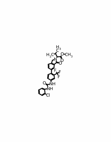 COC(=O)C(C(C)C)N1Cc2ccc(-c3ccc(NC(=O)Nc4ccccc4Cl)cc3C(F)(F)F)cc2C1=O